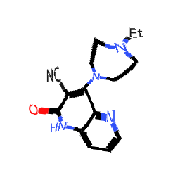 CCN1CCN(c2c(C#N)c(=O)[nH]c3cccnc23)CC1